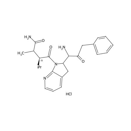 CC(C)[C@H](C(=O)N1c2ncccc2CC1C(N)C(=O)Cc1ccccc1)C(C)C(N)=O.Cl